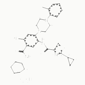 Cc1ccccc1N1CCN(c2cc(F)c(C(=O)N[C@H]3CCC[C@@H](C(=O)O)C3)cc2NC(=O)c2coc(C3CC3)n2)CC1